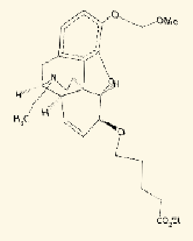 CCOC(=O)CCCCO[C@H]1C=C[C@H]2[C@H]3Cc4ccc(OCOC)c5c4[C@@]2(CCN3C)[C@H]1O5